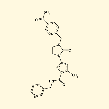 Cc1cc(N2CCN(Cc3ccc(C(N)=O)cc3)C2=O)sc1C(=O)NCc1cccnc1